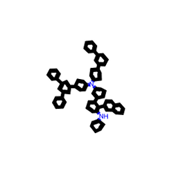 C1=CC(Nc2cccc(-c3cccc(N(c4ccc(-c5cccc(-c6ccccc6)c5)cc4)c4ccc(-c5cc(-c6ccccc6)cc(-c6ccccc6)c5)cc4)c3)c2-c2ccc3ccccc3c2)=CCC1